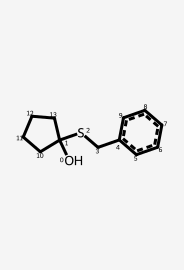 OC1(SCc2ccccc2)CCCC1